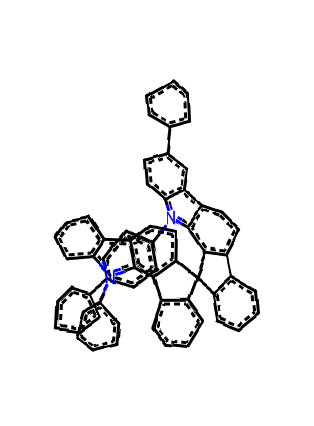 c1ccc(-c2ccc(-n3c4ccc(-c5ccccc5)cc4c4ccc5c(c43)C3(c4ccccc4-5)c4ccccc4-c4c3ccc3c5ccccc5n(-c5ccccc5)c43)cc2)cc1